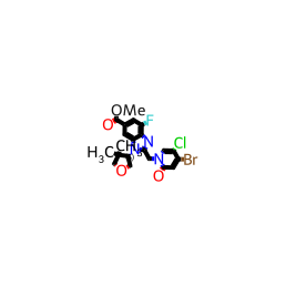 COC(=O)c1cc(F)c2nc(Cn3cc(Cl)c(Br)cc3=O)n([C@@H]3COCC3(C)C)c2c1